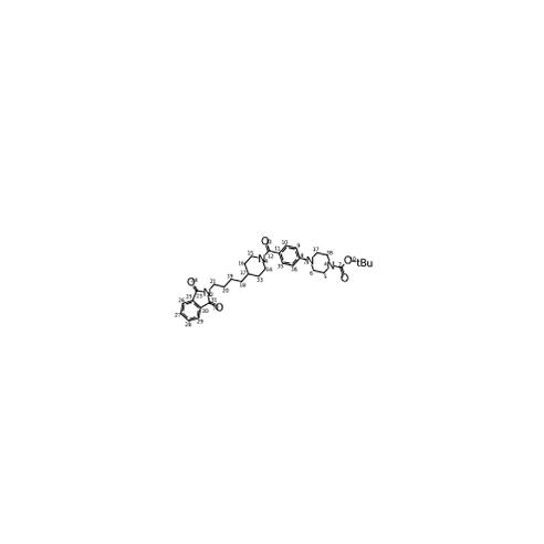 CC(C)(C)OC(=O)N1CCN(c2ccc(C(=O)N3CCC(CCCCN4C(=O)c5ccccc5C4=O)CC3)cc2)CC1